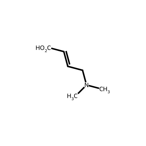 CN(C)CC=CC(=O)O